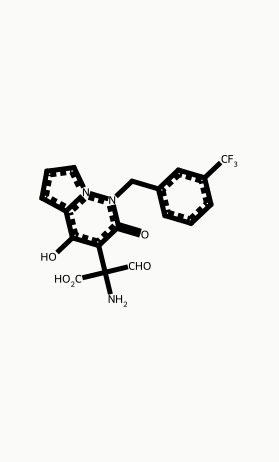 NC(C=O)(C(=O)O)c1c(O)c2cccn2n(Cc2cccc(C(F)(F)F)c2)c1=O